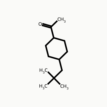 CC(=O)C1CCC(CC(C)(C)C)CC1